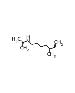 C=CC(C)CCCCNC(=C)C